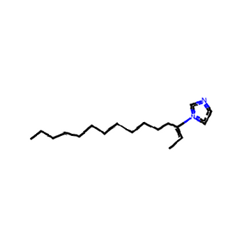 CC=C(CCCCCCCCCCCC)n1ccnc1